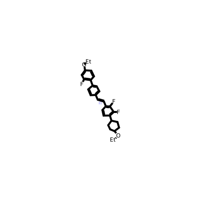 CCOc1ccc(-c2ccc(/C=C/c3ccc(C4CCC(OCC)CC4)c(F)c3F)cc2)c(F)c1